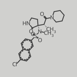 C[C@@H](C(=O)N1CCCCC1)[C@]1(N(C)S(=O)(=O)c2ccc3cc(Cl)ccc3c2)CCNC1=O